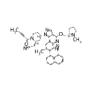 CC#CC(=O)N1CC[C@H](n2ncc3c(OC[C@@H]4CCCN4C)nc4c(F)c(-c5cccc6cccc(C#N)c56)c(C)cc4c32)C[C@H]1CC#N